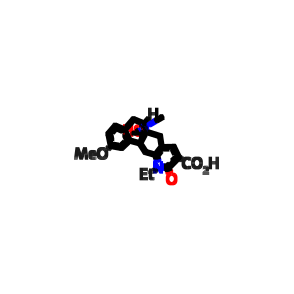 CCn1c2c(cc(C(=O)O)c1=O)C[C@@]1(O)[C@H]3Cc4ccc(OC)cc4[C@@]1(CCN3C)C2